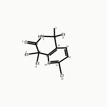 CCC1(C)NC(=O)C(CC)(CC)c2nc(Cl)ccc21